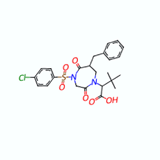 CC(C)(C)C(C(=O)O)N1CC(Cc2ccccc2)C(=O)N(S(=O)(=O)c2ccc(Cl)cc2)CC1=O